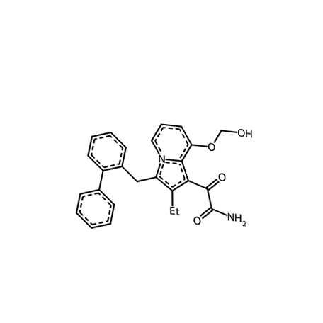 CCc1c(C(=O)C(N)=O)c2c(OCO)cccn2c1Cc1ccccc1-c1ccccc1